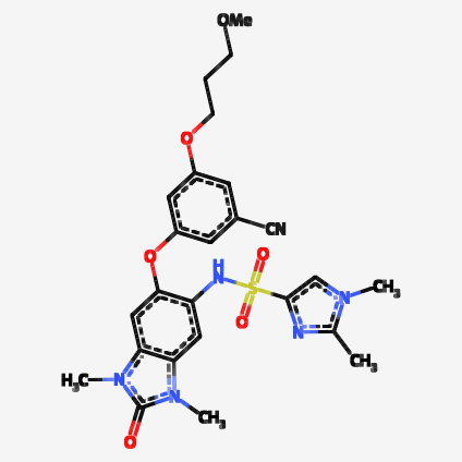 COCCCOc1cc(C#N)cc(Oc2cc3c(cc2NS(=O)(=O)c2cn(C)c(C)n2)n(C)c(=O)n3C)c1